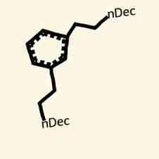 CCCCCCCCCCCCc1cccc(CCCCCCCCCCCC)c1